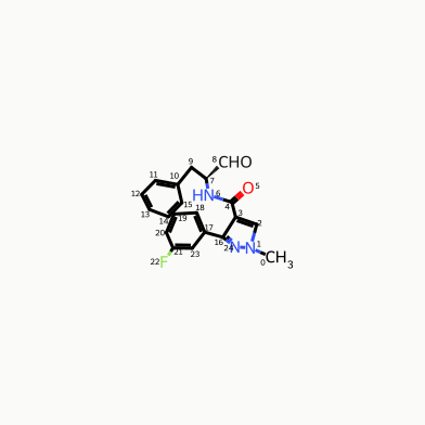 Cn1cc(C(=O)N[C@H](C=O)Cc2ccccc2)c(-c2cccc(F)c2)n1